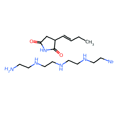 CCC=CC1CC(=O)NC1=O.NCCNCCNCCNCCN